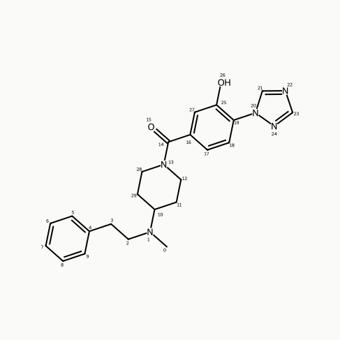 CN(CCc1ccccc1)C1CCN(C(=O)c2ccc(-n3cncn3)c(O)c2)CC1